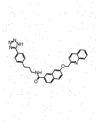 O=C(NCCCc1ccc(-c2nnn[nH]2)cc1)c1ccc2ccc(OCc3ccc4ccccc4n3)cc2c1